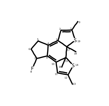 CC1=CC2=C3CCC(F)C3=C3C=C(C)SC3(C)C2(C)S1